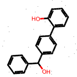 Oc1ccccc1-c1ccc(C(O)c2ccccc2)cc1